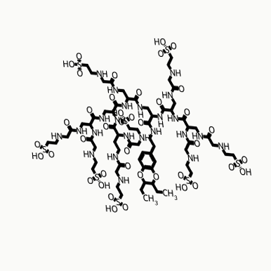 CCC1Oc2ccc(CCNC(=O)C(CNC(=O)C(CNC(=O)CNCCS(=O)(=O)O)NC(=O)C(CNC(=O)C(CNC(=O)CNCCS(=O)(=O)O)NC(=O)CNCCS(=O)(=O)O)NC(=O)C(CCNC(=O)CNCCS(=O)(=O)O)NC(=O)CNCCS(=O)(=O)O)NC(=O)C(CNC(=O)CNCCS(=O)(=O)O)NC(=O)C(CNC(=O)CNCCS(=O)(=O)O)NC(=O)CNCCS(=O)(=O)O)cc2OC1CC